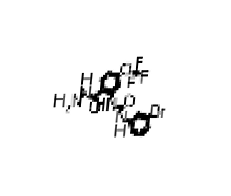 NNC(=O)c1ccc(OC(F)(F)F)cc1NC(=O)Nc1cccc(Br)c1